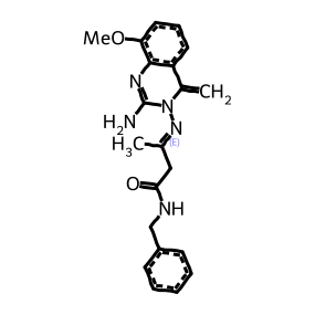 C=C1c2cccc(OC)c2N=C(N)N1/N=C(\C)CC(=O)NCc1ccccc1